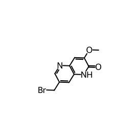 COc1cc2ncc(CBr)cc2[nH]c1=O